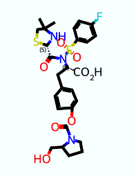 CC1(C)CS[C@@H](C(=O)N([C@@H](Cc2ccc(OC(=O)N3CCCC3CO)cc2)C(=O)O)S(=O)(=O)c2ccc(F)cc2)N1